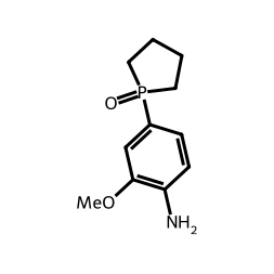 COc1cc(P2(=O)CCCC2)ccc1N